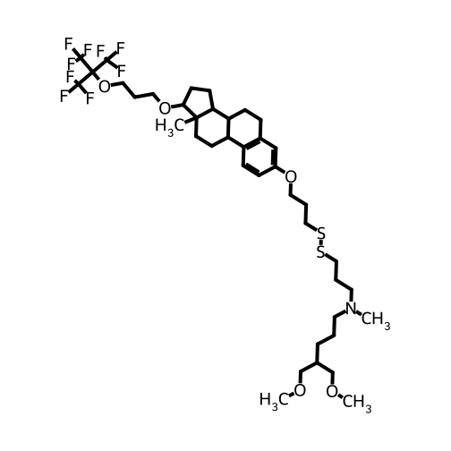 COCC(CCCN(C)CCCSSCCCOc1ccc2c(c1)CCC1C2CCC2(C)C(OCCCOC(C(F)(F)F)(C(F)(F)F)C(F)(F)F)CCC12)COC